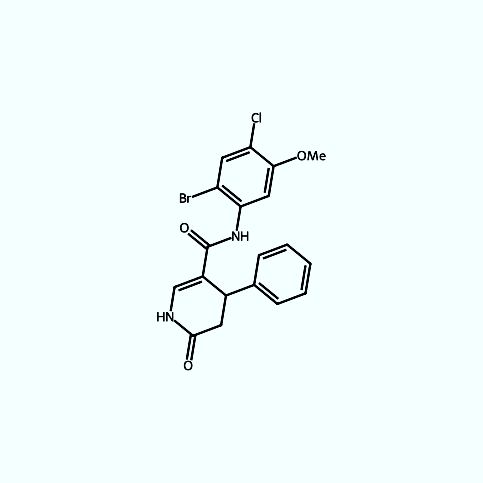 COc1cc(NC(=O)C2=CNC(=O)CC2c2ccccc2)c(Br)cc1Cl